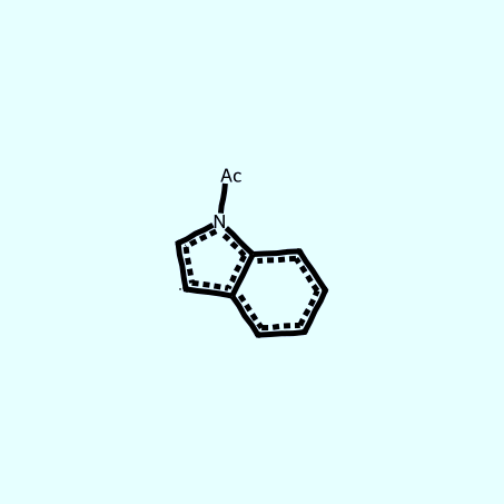 CC(=O)n1c[c]c2ccccc21